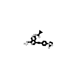 CNc1ncc(C#Cc2ccc(N3CCOC3=O)cc2)c2cc(NC(=O)C3CC3)ncc12